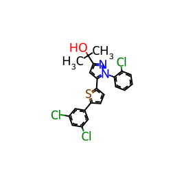 CC(C)(O)c1cc(-c2ccc(-c3cc(Cl)cc(Cl)c3)s2)n(-c2ccccc2Cl)n1